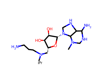 CC(C)N(CCCN)C[C@H]1O[C@@H](N2CNC3C(N)NCN(C)C32)[C@H](O)[C@@H]1O